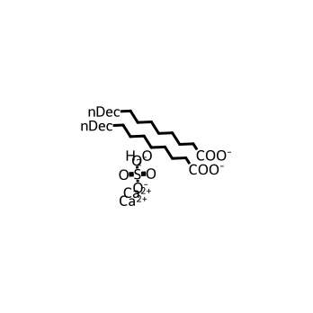 CCCCCCCCCCCCCCCCCC(=O)[O-].CCCCCCCCCCCCCCCCCC(=O)[O-].O.O=S(=O)([O-])[O-].[Ca+2].[Ca+2]